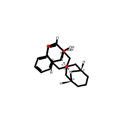 OC1C(Cl)=Nc2ccccc2N1[C@H]1C[C@H]2CCC[C@@H](C1)N2[C@H]1C[C@@H]2CCC[C@@H](C2)C1